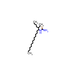 CCCCCCCCCCCCCCC(NC(N)=S)C(CC)CCCC